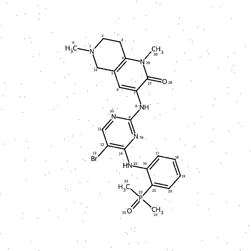 CN1CCc2c(cc(Nc3ncc(Br)c(Nc4ccccc4P(C)(C)=O)n3)c(=O)n2C)C1